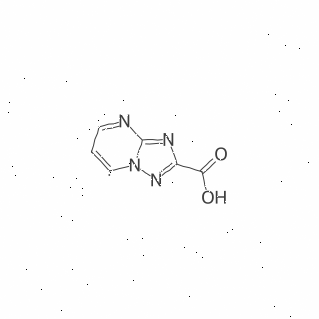 O=C(O)c1nc2ncc[c]n2n1